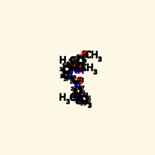 COc1cc(C)c(S(=O)(=O)Nc2cccc3ccn(CCC(=O)N4CCC(c5ccccc5)(N(C)C)CC4)c23)c(C)c1